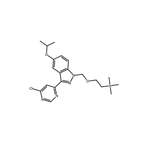 CC(C)Oc1ccc2c(c1)c(-c1cc(Cl)ncn1)nn2COCC[Si](C)(C)C